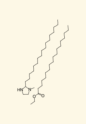 CCCCCCCCCCCCCCCCCC(=O)OCC.CCCCCCCCCCCCCCCCCC1NCCN1C